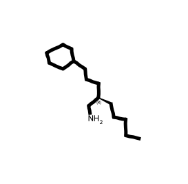 CCCCC[C@@H](CN)CCCC1CCCCC1